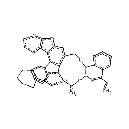 C=CC1=NC2CC(=C)[n+]3ccc(C4CCCCC4)cc3-c3c(cc4oc5ncccc5c4c3-c3ccccc3)CCC2c2ccccc21